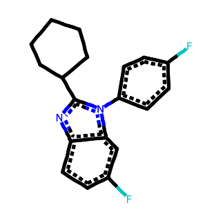 Fc1ccc(-n2c(C3CCCCC3)nc3ccc(F)cc32)cc1